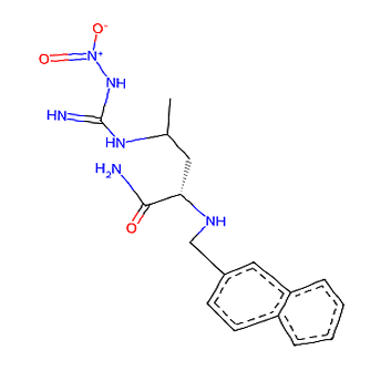 CC(C[C@H](NCc1ccc2ccccc2c1)C(N)=O)NC(=N)N[N+](=O)[O-]